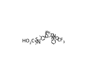 Cc1cc(OCc2c(C(C)C)cnn2-c2ccccc2OC(F)(F)F)ccc1-c1nc(C)c(C(=O)O)s1